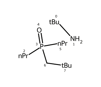 CC(C)(C)N.CCCP(=O)(CCC)CC(C)(C)C